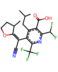 CC(C)Cc1c(C(=O)O)c(C(F)F)nc(C(F)(F)F)c1C(C#N)=C1OCCC1C